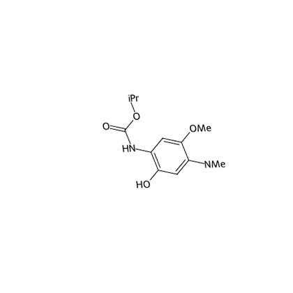 CNc1cc(O)c(NC(=O)OC(C)C)cc1OC